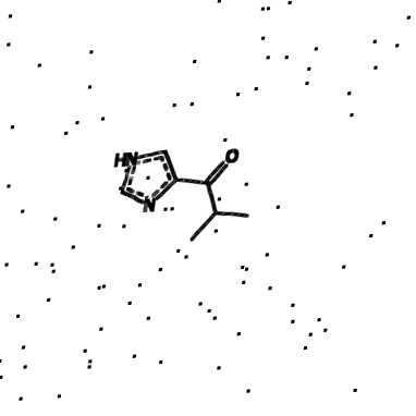 CC(C)C(=O)c1c[nH]cn1